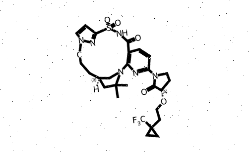 CC1(C)C[C@H]2CCCn3ccc(n3)S(=O)(=O)NC(=O)c3ccc(N4CC[C@H](OCCC5(C(F)(F)F)CC5)C4=O)nc3N1C2